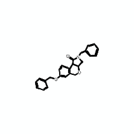 O=C1C2c3ccc(OCc4ccccc4)cc3COC2CN1Cc1ccccc1